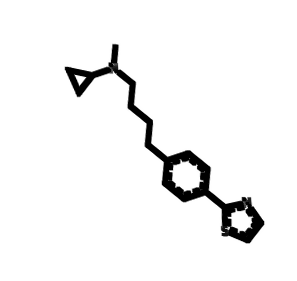 CN(CCCCc1ccc(-c2nccs2)cc1)C1CC1